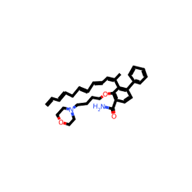 C=C/C=C/C/C=C/C=C/C=C(/C)c1c(-c2ccccc2)ccc(C(N)=O)c1OCCCCN1CCOCC1